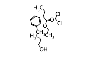 CCCC(=O)OCC.CCCO.Cc1ccccc1.ClCCl